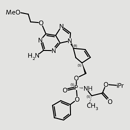 COCCOc1nc(N)nc2c1ncn2[C@H]1C=C[C@@H](CO[P@@](=O)(N[C@@H](C)C(=O)OC(C)C)Oc2ccccc2)C1